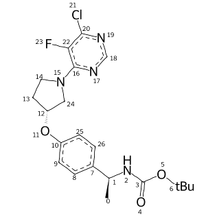 C[C@H](NC(=O)OC(C)(C)C)c1ccc(O[C@@H]2CCN(c3ncnc(Cl)c3F)C2)cc1